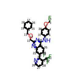 FCOc1ccc(Nc2nc(COCc3ccccc3)nc3cc(-c4ncccc4C(F)(F)F)ccc23)cc1